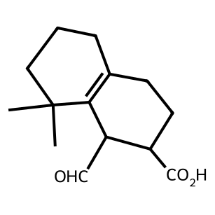 CC1(C)CCCC2=C1C(C=O)C(C(=O)O)CC2